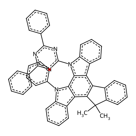 CC1(C)c2ccccc2-c2c1c1c3ccccc3n(-c3ccccc3)c1c1c2c2ccccc2n1-c1nc(-c2ccccc2)nc(-c2ccccc2)n1